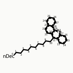 CCCCCCCCCCCCCCCCCCCCc1c2ccccc2nc2c1ccc1ccccc12